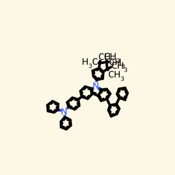 CC1(C)c2ccc(-n3c4ccc(-c5ccc(N(c6ccccc6)c6ccccc6)cc5)cc4c4cc(-c5ccccc5-c5ccccc5)ccc43)cc2C(C)(C)C1(C)C